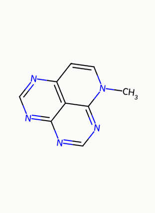 CN1C=Cc2ncnc3ncnc1c23